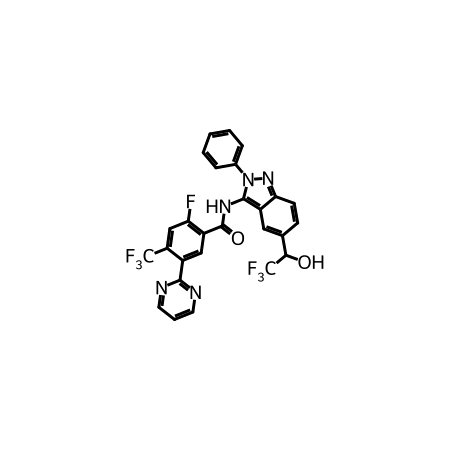 O=C(Nc1c2cc(C(O)C(F)(F)F)ccc2nn1-c1ccccc1)c1cc(-c2ncccn2)c(C(F)(F)F)cc1F